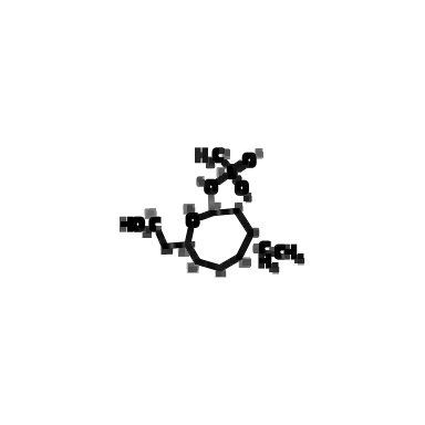 C.C.CS(=O)(=O)OC1CCCCC[C](CC(=O)O)O1